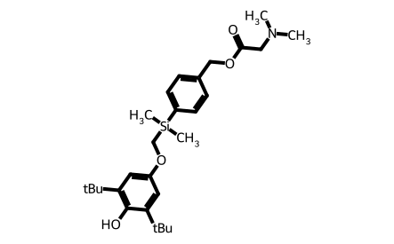 CN(C)CC(=O)OCc1ccc([Si](C)(C)COc2cc(C(C)(C)C)c(O)c(C(C)(C)C)c2)cc1